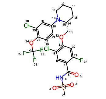 CS(=O)(=O)NC(=O)c1cc(Cl)c(OC[C@H]2CCCCN2c2ccc(OC(F)(F)F)c(Cl)c2)cc1F